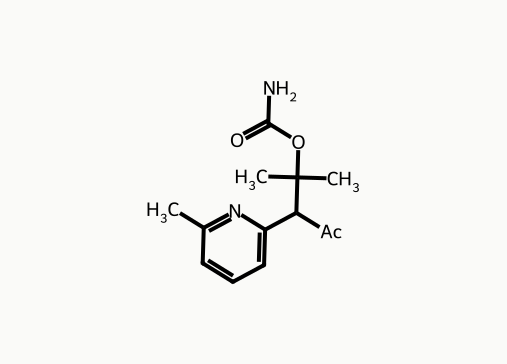 CC(=O)C(c1cccc(C)n1)C(C)(C)OC(N)=O